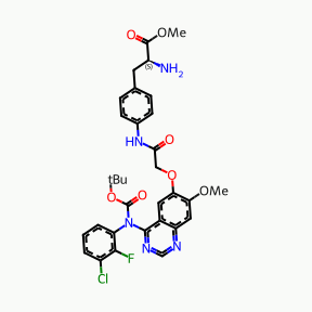 COC(=O)[C@@H](N)Cc1ccc(NC(=O)COc2cc3c(N(C(=O)OC(C)(C)C)c4cccc(Cl)c4F)ncnc3cc2OC)cc1